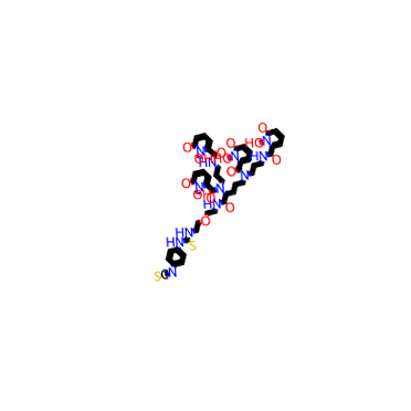 O=C(NCCCN(CCCC(C(=O)NCCOCCNC(=S)Nc1ccc(N=C=S)cc1)N(CCCNC(=O)c1cccc(=O)n1O)C(=O)c1cccc(=O)n1O)C(=O)c1cccc(=O)n1O)c1cccc(=O)n1O